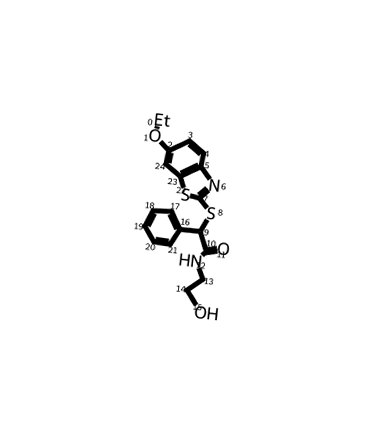 CCOc1ccc2nc(SC(C(=O)NCCO)c3ccccc3)sc2c1